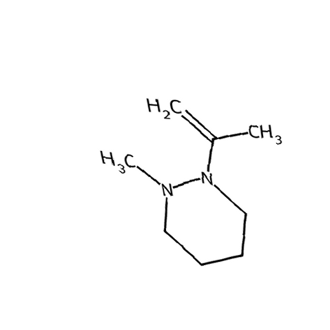 C=C(C)N1CCCCN1C